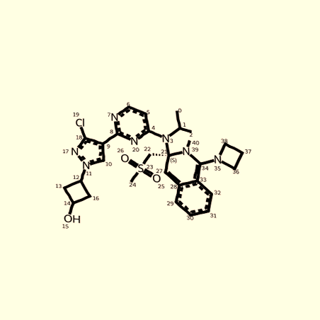 CC(C)N(c1ccnc(-c2cn(C3CC(O)C3)nc2Cl)n1)[C@]1(CS(C)(=O)=O)C=c2ccccc2=C(N2CCC2)N1C